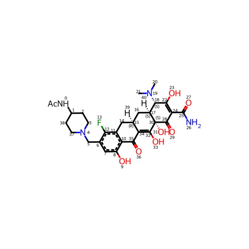 CC(=O)NC1CCN(Cc2cc(O)c3c(c2F)C[C@H]2C[C@H]4[C@H](N(C)C)C(O)=C(C(N)=O)C(=O)[C@@]4(O)C(O)=C2C3=O)CC1